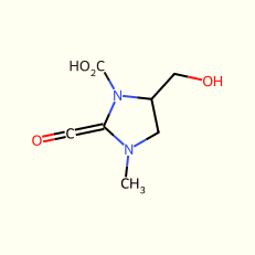 CN1CC(CO)N(C(=O)O)C1=C=O